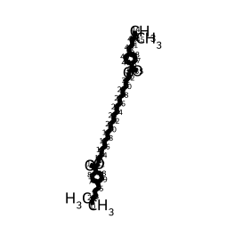 CC(C)=CCCC1=CCC(C(=O)OCCCCCCCCCCCCCCCCCCCCOC(=O)C2CC=C(CCC=C(C)C)CC2)CC1